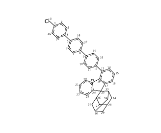 Clc1ccc(-c2ccc(-c3ccc(-c4cccc5c4-c4ccccc4C54C5CC6CC(C5)CC4C6)cc3)cc2)cc1